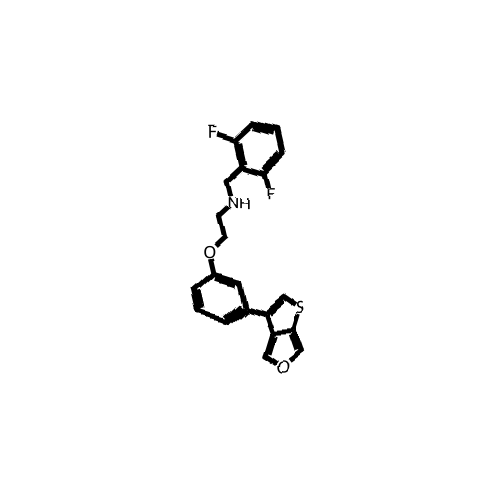 Fc1cccc(F)c1CNCCOc1cccc(-c2csc3cocc23)c1